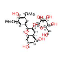 COc1cc(-c2[o+]c3cc(O)cc(O)c3cc2O[C@@H]2O[C@H](CO)[C@@H](O)[C@H](O)[C@H]2O)cc(OC)c1O